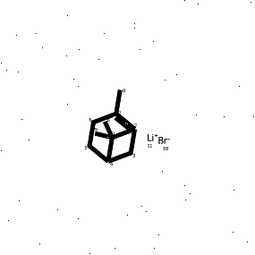 CC1=C2CC(CC1)C2(C)C.[Br-].[Li+]